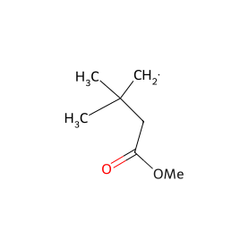 [CH2]C(C)(C)CC(=O)OC